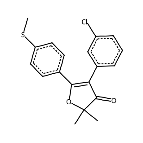 CSc1ccc(C2=C(c3cccc(Cl)c3)C(=O)C(C)(C)O2)cc1